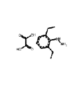 CCc1cccc(CC)c1NN.O=C(O)C(=O)O